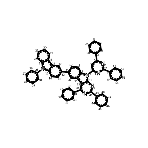 c1ccc(-c2cc(-n3c4ccc(-c5ccc6c(c5)c5ccccc5n6-c5ccccc5)cc4c4c(-c5ccccc5)nc(-c5ccccc5)nc43)nc(-c3ccccc3)n2)cc1